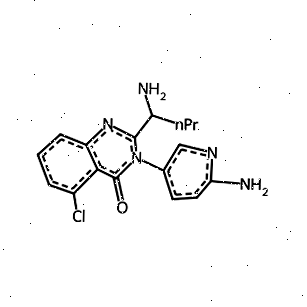 CCCC(N)c1nc2cccc(Cl)c2c(=O)n1-c1ccc(N)nc1